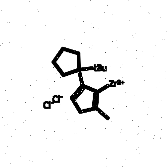 CC1=[C]([Zr+2])C(C2(C(C)(C)C)CCCC2)=CC1.[Cl-].[Cl-]